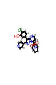 CS(=O)(=O)N1C2CCC1CC(c1ccnc3c(-c4ccc(Cl)c(O)c4)c(-c4ccncc4)nn13)C2